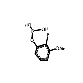 COc1cccc(OB(O)O)c1F